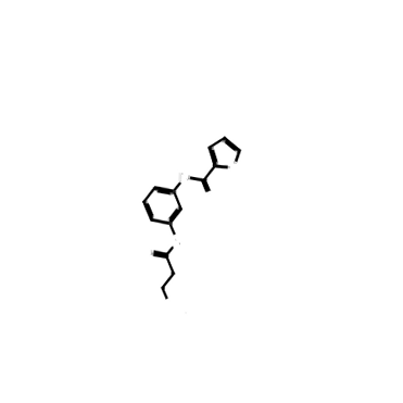 CCCC(=O)Nc1cccc(NC(=O)c2ccco2)c1